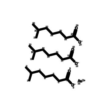 CC(C)CCCCC(=O)[O-].CC(C)CCCCC(=O)[O-].CC(C)CCCCC(=O)[O-].[Au+3]